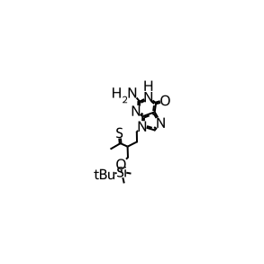 CC(=S)C(CCn1cnc2c(=O)[nH]c(N)nc21)CO[Si](C)(C)C(C)(C)C